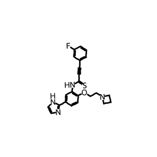 Fc1cccc(C#CC(=S)Nc2cc(-c3ncc[nH]3)ccc2OCCN2CCC2)c1